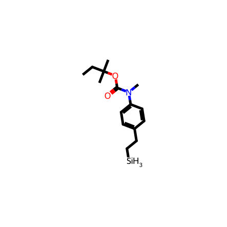 CCC(C)(C)OC(=O)N(C)c1ccc(CC[SiH3])cc1